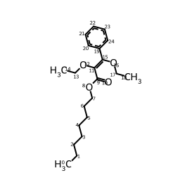 CCCCCCCCOC(=O)C(OCC)=C(OCC)c1ccccc1